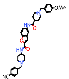 COc1ccc(CN2CCC(C(=O)Nc3ccc4oc(C(=O)NC5CCN(Cc6ccc(C#N)cc6)CC5)cc4c3)CC2)cc1